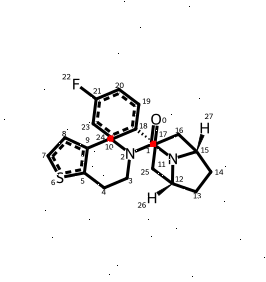 O=C(N1CCc2sccc2C1)N1[C@@H]2CC[C@H]1C[C@@H](c1ccc(F)cc1)C2